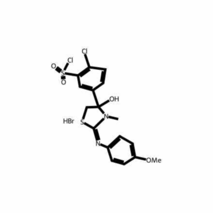 Br.COc1ccc(N=C2SCC(O)(c3ccc(Cl)c(S(=O)(=O)Cl)c3)N2C)cc1